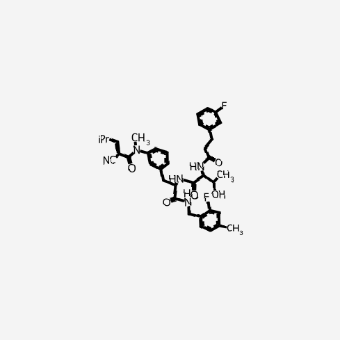 Cc1ccc(CNC(=O)C(Cc2cccc(N(C)C(=O)C(C#N)=CC(C)C)c2)NC(=O)C(NC(=O)CCc2cccc(F)c2)C(C)O)c(F)c1